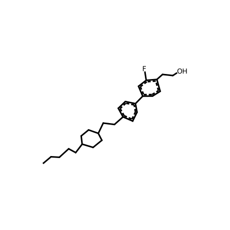 CCCCCC1CCC(CCc2ccc(-c3ccc(CCO)c(F)c3)cc2)CC1